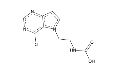 O=C(O)NCCn1ccc2ncnc(Cl)c21